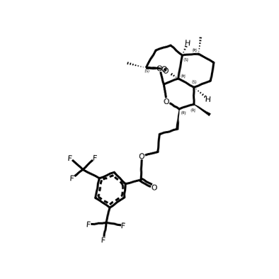 C[C@H]1[C@@H](CCCOC(=O)c2cc(C(F)(F)F)cc(C(F)(F)F)c2)OC2O[C@]3(C)CC[C@H]4[C@H](C)CC[C@@H]1[C@@]24OO3